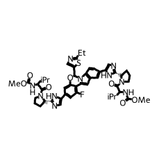 CCc1ncc(C2Oc3cc(-c4cnc([C@@H]5CCCN5C(=O)C(NC(=O)OC)C(C)C)[nH]4)cc(F)c3-c3cc4cc(-c5cnc([C@@H]6CCCN6C(=O)C(NC(=O)OC)C(C)C)[nH]5)ccc4n32)s1